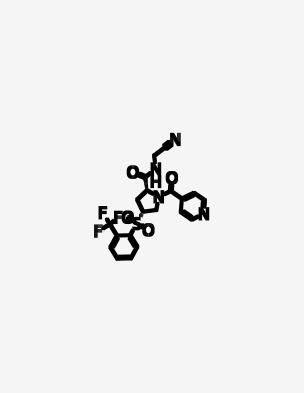 N#CCNC(=O)[C@@H]1C[C@@H](S(=O)(=O)c2ccccc2C(F)(F)F)CN1C(=O)c1ccncc1